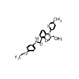 Cc1ccc(N2c3cccc(C(=O)Nc4ccc(OCC(F)(F)F)cc4)c3OC[C@@H]2CO)nc1